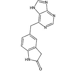 O=C1Cc2cc(Cc3ncnc4nc[nH]c34)ccc2N1